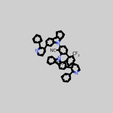 N#Cc1c(-n2c3ccccc3c3ccc(-c4cccnc4-c4ccccc4)cc32)ccc(-c2c(C(F)(F)F)cccc2C(F)(F)F)c1-n1c2ccccc2c2ccc(-c3cccnc3-c3ccccc3)cc21